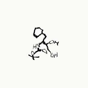 CC(C)(C)OC(=O)NC(CC1CCCCC1)C(O)CO